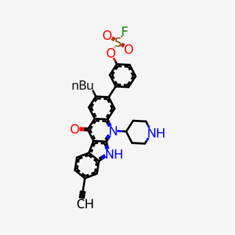 C#Cc1ccc2c(c1)[nH]c1c2c(=O)c2cc(CCCC)c(-c3cccc(OS(=O)(=O)F)c3)cc2n1C1CCNCC1